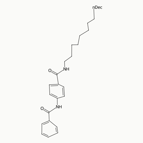 CCCCCCCCCCCCCCCCCCNC(=O)c1ccc(NC(=O)c2ccccc2)cc1